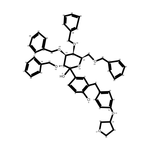 OC1(c2ccc(Cl)c(Cc3ccc(OC4CCOC4)cc3)c2)O[C@H](COCc2ccccc2)[C@H](OCc2ccccc2)[C@H](OCc2ccccc2)[C@H]1OCc1ccccc1